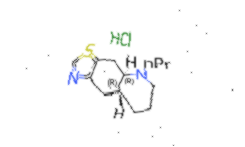 CCCN1CCC[C@@H]2Cc3ncsc3C[C@H]21.Cl